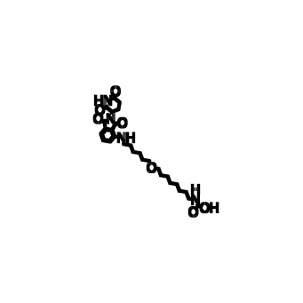 O=C(O)NCCCCCCCCOCCCCCCNc1cccc2c1C(=O)N(C1CCC(=O)NC1=O)C2=O